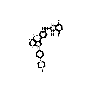 CN1CCN([C@H]2CC[C@H](n3cc(-c4ccc(Nc5nc6c(F)ccc(F)c6[nH]5)cc4)c4c(N)ncnc43)CC2)CC1